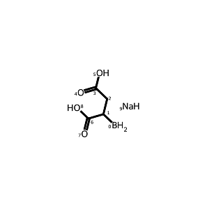 BC(CC(=O)O)C(=O)O.[NaH]